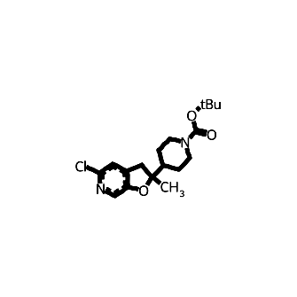 CC(C)(C)OC(=O)N1CCC(C2(C)Cc3cc(Cl)ncc3O2)CC1